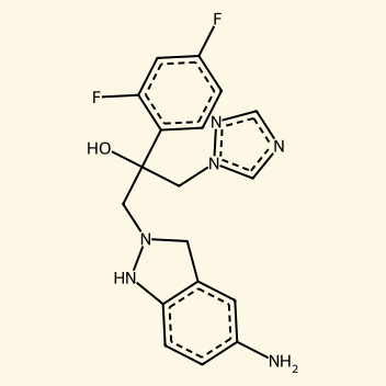 Nc1ccc2c(c1)CN(CC(O)(Cn1cncn1)c1ccc(F)cc1F)N2